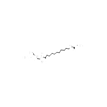 CC[C@H](C)[C@H](NC(=O)[C@@H](NC(=O)CCCCCCCCCCNC(=O)OC(C)(C)C)[C@@H](C)CC)C(=O)O